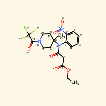 CCOC(=O)CC(=O)N(c1ccccc1[N+](=O)[O-])C1(C)CCN(C(=O)C(F)(F)F)CC1